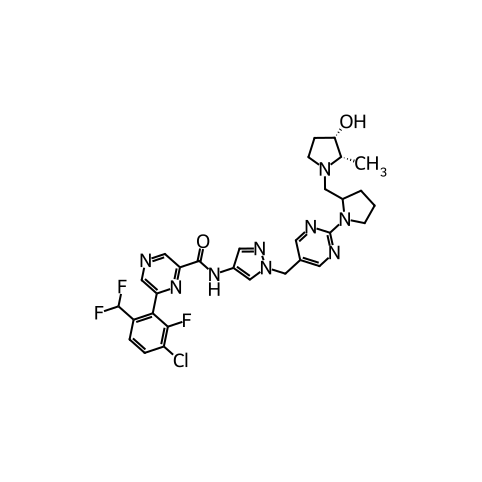 C[C@H]1[C@@H](O)CCN1CC1CCCN1c1ncc(Cn2cc(NC(=O)c3cncc(-c4c(C(F)F)ccc(Cl)c4F)n3)cn2)cn1